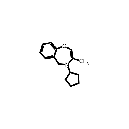 CC1=COc2ccccc2CN1C1CCCC1